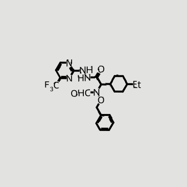 CCC1CCC(C(C(=O)NNc2nccc(C(F)(F)F)n2)N(C=O)OCc2ccccc2)CC1